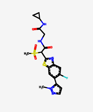 Cn1nccc1-c1cc2sc(C(C(=O)NCC(=O)NC3CC3)S(C)(=O)=O)nc2cc1F